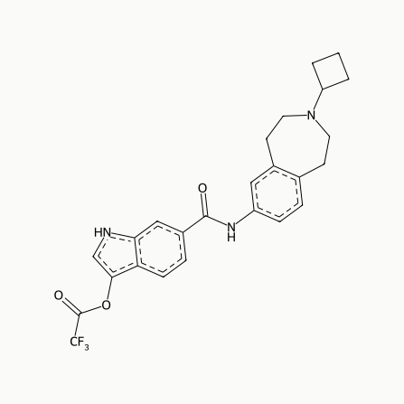 O=C(Nc1ccc2c(c1)CCN(C1CCC1)CC2)c1ccc2c(OC(=O)C(F)(F)F)c[nH]c2c1